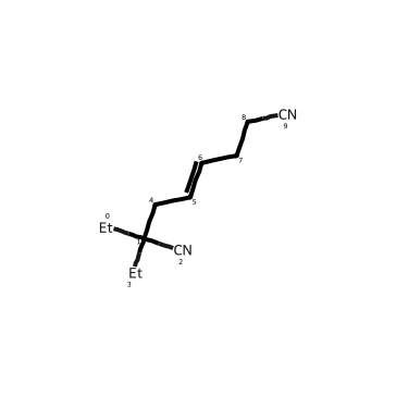 CCC(C#N)(CC)CC=CCCC#N